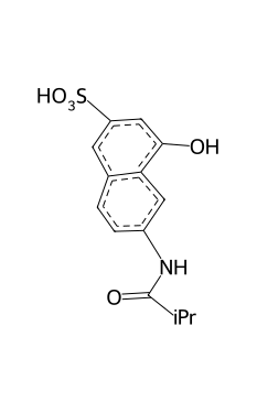 CC(C)C(=O)Nc1ccc2cc(S(=O)(=O)O)cc(O)c2c1